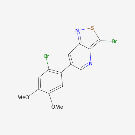 COc1cc(Br)c(-c2cnc3c(Br)snc3c2)cc1OC